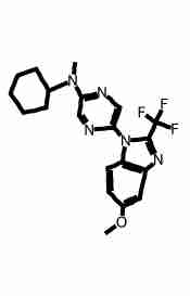 COc1ccc2c(c1)nc(C(F)(F)F)n2-c1cnc(N(C)C2CCCCC2)cn1